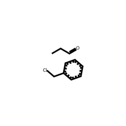 CCC=O.ClCc1ccccc1